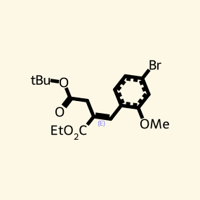 CCOC(=O)/C(=C/c1ccc(Br)cc1OC)CC(=O)OC(C)(C)C